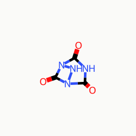 O=c1[nH]c(=O)n2[nH]n1c2=O